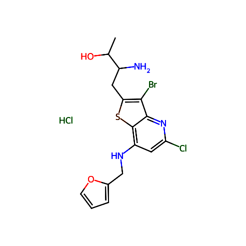 CC(O)C(N)Cc1sc2c(NCc3ccco3)cc(Cl)nc2c1Br.Cl